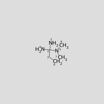 [CH2]CC(N)(N)N(C)C